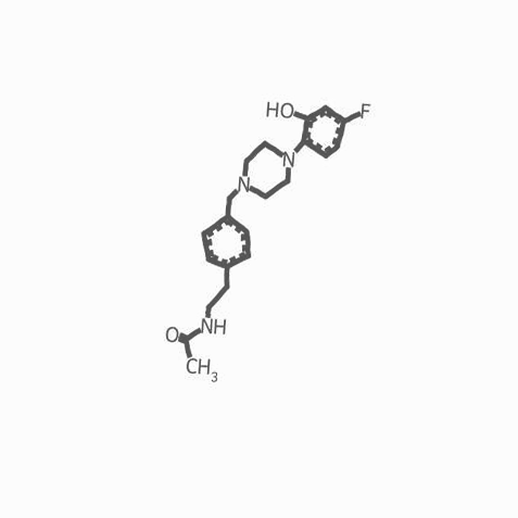 CC(=O)NCCc1ccc(CN2CCN(c3ccc(F)cc3O)CC2)cc1